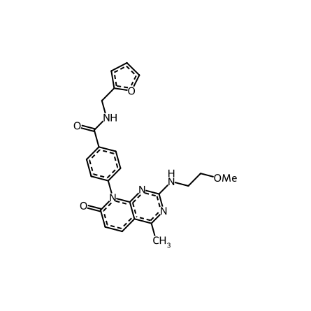 COCCNc1nc(C)c2ccc(=O)n(-c3ccc(C(=O)NCc4ccco4)cc3)c2n1